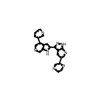 c1cncc(-c2cncc3[nH]c(-c4n[nH]c5ncc(-c6cnccn6)cc45)cc23)c1